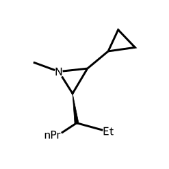 CCCC(CC)[C@@H]1C(C2CC2)N1C